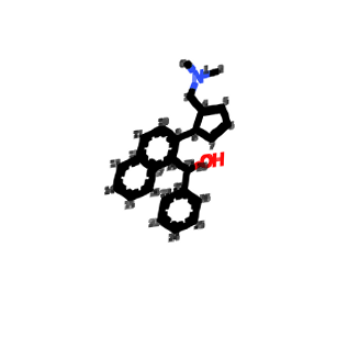 CN(C)CC1=CC=CC1c1ccc2ccccc2c1C(O)c1ccccc1